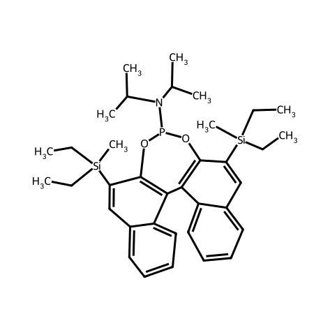 CC[Si](C)(CC)c1cc2ccccc2c2c1op(N(C(C)C)C(C)C)oc1c([Si](C)(CC)CC)cc3ccccc3c12